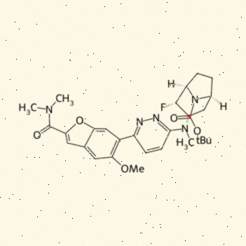 COc1cc2cc(C(=O)N(C)C)oc2cc1-c1ccc(N(C)[C@H]2C[C@@H]3CC[C@H]([C@H]2F)N3C(=O)OC(C)(C)C)nn1